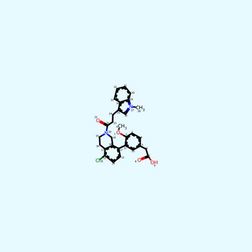 COc1ccc(CC(=O)O)cc1-c1ccc(Cl)c2c1CN(C(=O)CCc1cn(C)c3ccccc13)CC2